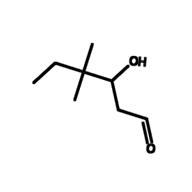 CCC(C)(C)C(O)CC=O